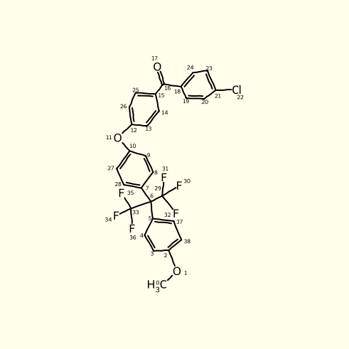 COc1ccc(C(c2ccc(Oc3ccc(C(=O)c4ccc(Cl)cc4)cc3)cc2)(C(F)(F)F)C(F)(F)F)cc1